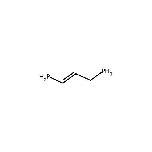 PC=CCP